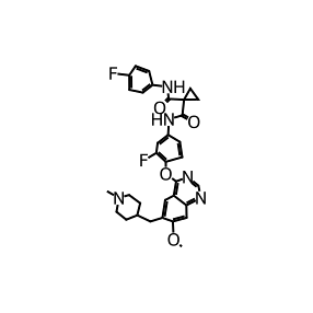 COc1cc2ncnc(Oc3ccc(NC(=O)C4(C(=O)Nc5ccc(F)cc5)CC4)cc3F)c2cc1CC1CCN(C)CC1